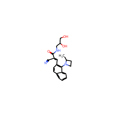 CC1CCN1c1c(/C=C(\C#N)C(=O)NCC(O)CO)ccc2ccccc12